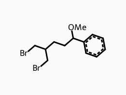 COC(CCC(CBr)CBr)c1ccccc1